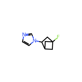 FC12CC(C1)C(n1ccnc1)C2